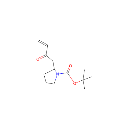 C=CC(=O)CC1CCCN1C(=O)OC(C)(C)C